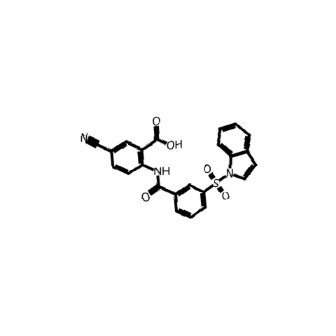 N#Cc1ccc(NC(=O)c2cccc(S(=O)(=O)n3ccc4ccccc43)c2)c(C(=O)O)c1